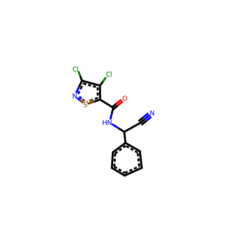 N#CC(NC(=O)c1snc(Cl)c1Cl)c1ccccc1